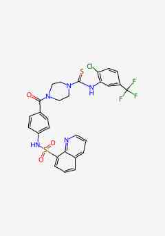 O=C(c1ccc(NS(=O)(=O)c2cccc3cccnc23)cc1)N1CCN(C(=S)Nc2cc(C(F)(F)F)ccc2Cl)CC1